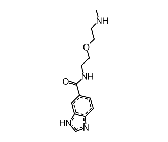 CNCCOCCNC(=O)c1ccc2nc[nH]c2c1